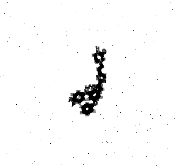 O=C1CN(CCC2CSC(c3cc4cc(Oc5ccccc5)cc(NC5CCC(F)(F)CC5)c4[nH]3)=N2)CCN1